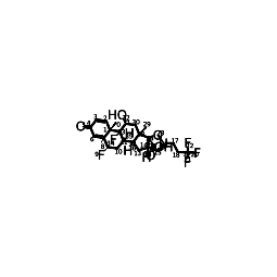 C[C@]12C=CC(=O)C=C1[C@@H](F)C[C@H]1[C@@H]3C[C@H]4CN(CCC(F)(F)F)O[C@@]4(C(=O)O)[C@@]3(C)C[C@H](O)[C@@]12F